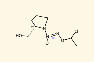 CC(Cl)O/N=[N+](\[O-])N1CCC[C@H]1CO